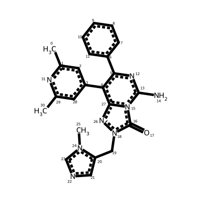 Cc1cc(-c2c(-c3ccccc3)nc(N)n3c(=O)n(Cc4cncn4C)nc23)cc(C)n1